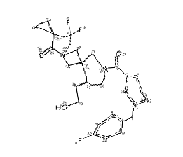 O=C(c1cnn(Cc2ccc(F)cc2)c1)N1CC(CCO)C2(C1)CN(C(=O)C1(C(F)(F)F)CC1)C2